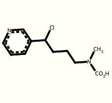 CN(CCCC(Cl)c1cccnc1)C(=O)O